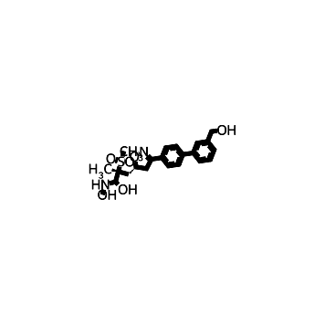 C[C@@](C[C@H]1CC(c2ccc(-c3cccc(CO)c3)cc2)=NO1)(C(O)NO)S(C)(=O)=O